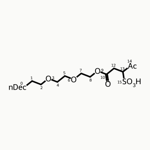 CCCCCCCCCCCCOCCOCCOC(=O)CC(C(C)=O)S(=O)(=O)O